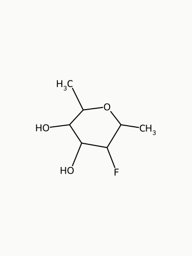 CC1OC(C)C(F)C(O)C1O